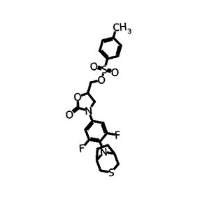 Cc1ccc(S(=O)(=O)OCC2CN(c3cc(F)c(N4C5CCC4CSC5)c(F)c3)C(=O)O2)cc1